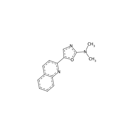 CN(C)c1ncc(-c2ccc3ccccc3n2)o1